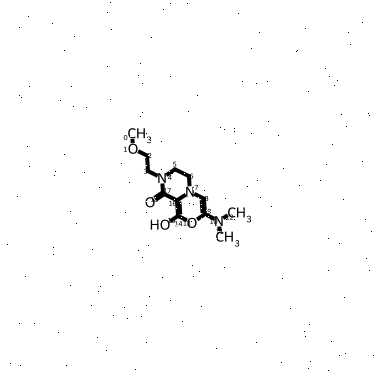 COCCN1CCN2C=C(N(C)C)OC(O)=C2C1=O